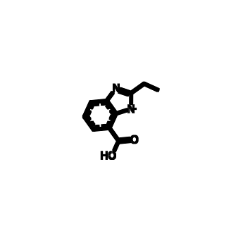 CCC1=Nc2cccc(C(=O)O)c2[N]1